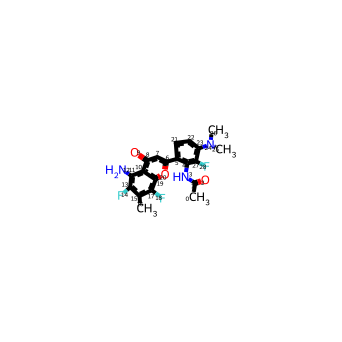 CC(=O)Nc1c(-c2cc(=O)c3c(N)c(F)c(C)c(F)c3o2)ccc(N(C)C)c1F